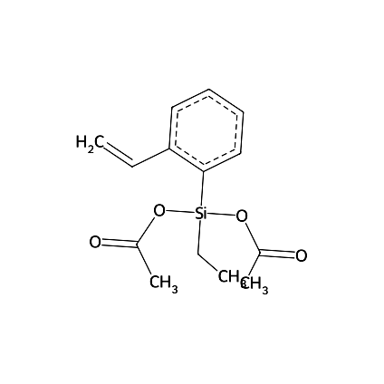 C=Cc1ccccc1[Si](CC)(OC(C)=O)OC(C)=O